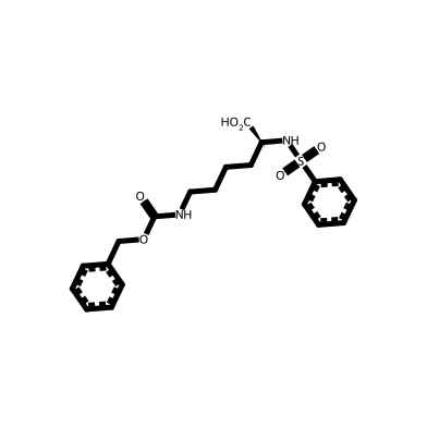 O=C(NCCCC[C@H](NS(=O)(=O)c1ccccc1)C(=O)O)OCc1ccccc1